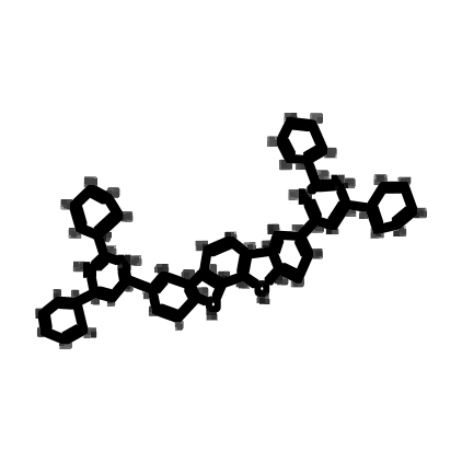 c1ccc(-c2cc(-c3ccc4oc5c(ccc6c7cc(-c8cc(-c9ccccc9)nc(-c9ccccc9)n8)ccc7oc65)c4c3)nc(-c3ccccc3)n2)cc1